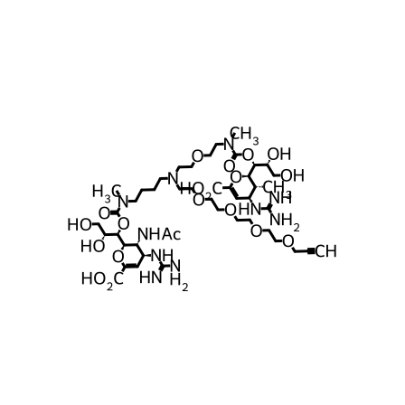 C#CCOCCOCCOCCOCCN(CCCCN(C)C(=O)O[C@@H]([C@@H]1OC(C(=O)O)=C[C@H](NC(=N)N)[C@H]1NC(C)=O)[C@H](O)CO)CCOCCN(C)C(=O)O[C@@H]([C@@H]1OC(C(=O)O)=C[C@H](NC(=N)N)[C@H]1C)[C@H](O)CO